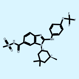 C[C@@H]1C[C@H](n2c(Nc3ccc(OC(F)(F)F)cc3)nc3ccc(C(=O)NS(C)(=O)=O)cc32)CC(C)(C)C1